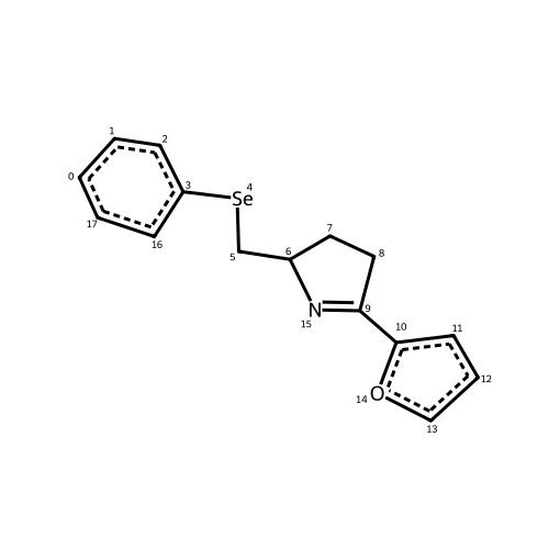 c1ccc([Se]CC2CCC(c3ccco3)=N2)cc1